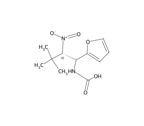 CC(C)(C)[C@@H](C(NC(=O)O)c1ccco1)[N+](=O)[O-]